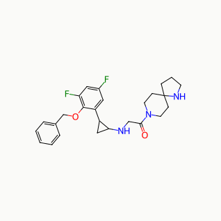 O=C(CNC1CC1c1cc(F)cc(F)c1OCc1ccccc1)N1CCC2(CCCN2)CC1